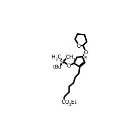 CCOC(=O)CCCCCCC1=C[C@H](OC2CCCCO2)CC1O[Si](C)(C)C(C)(C)C